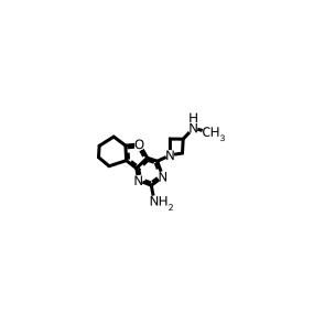 CNC1CN(c2nc(N)nc3c4c(oc23)CCCC4)C1